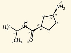 CC(C)NC(=O)[C@@H]1CC[C@H](N)C1